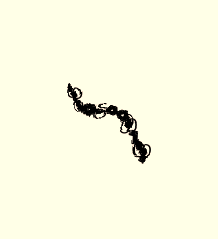 C=COC(=O)CCOc1ccc(C(=O)Sc2ccc(-c3ccc(OC(=O)OCCCCOC(=O)C=C)cc3)cc2)cc1